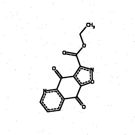 CCOC(=O)c1noc2c1C(=O)c1ncccc1C2=O